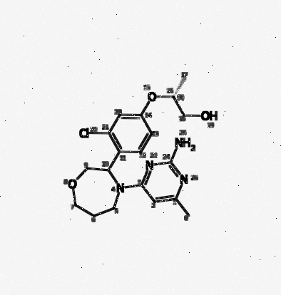 Cc1cc(N2CCCOCC2c2ccc(O[C@H](C)CO)cc2Cl)nc(N)n1